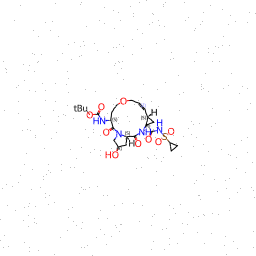 CC(C)(C)OC(=O)N[C@H]1CCOC/C=C\[C@@H]2C[C@@]2(C(=O)NS(=O)(=O)C2CC2)NC(=O)[C@@H]2C[C@@H](O)CN2C1=O